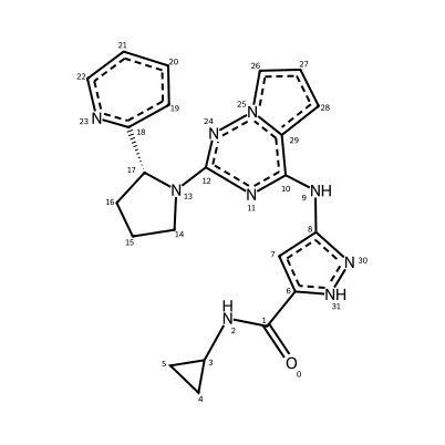 O=C(NC1CC1)c1cc(Nc2nc(N3CCC[C@@H]3c3ccccn3)nn3cccc23)n[nH]1